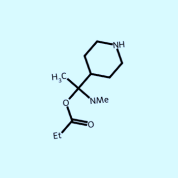 CCC(=O)OC(C)(NC)C1CCNCC1